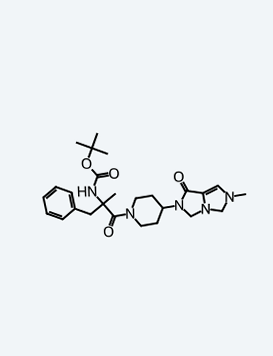 CN1C=C2C(=O)N(C3CCN(C(=O)C(C)(Cc4ccccc4)NC(=O)OC(C)(C)C)CC3)CN2C1